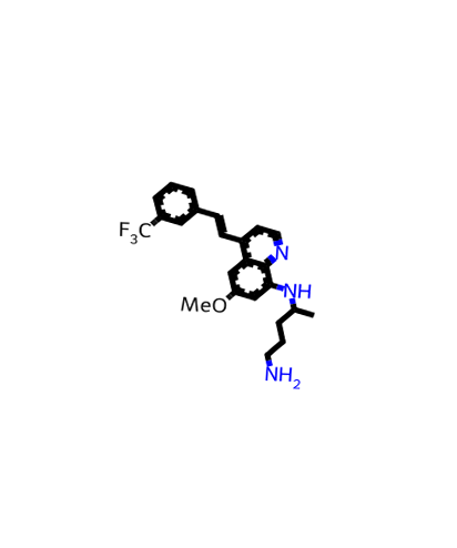 COc1cc(NC(C)CCCN)c2nccc(C=Cc3cccc(C(F)(F)F)c3)c2c1